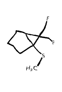 CSC12CCCC1C2(F)F